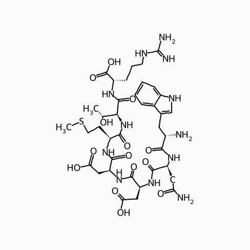 CSCC[C@H](NC(=O)[C@H](CC(=O)O)NC(=O)[C@H](CC(=O)O)NC(=O)[C@H](CC(N)=O)NC(=O)[C@@H](N)Cc1c[nH]c2ccccc12)C(=O)N[C@H](C(=O)N[C@@H](CCCNC(=N)N)C(=O)O)[C@@H](C)O